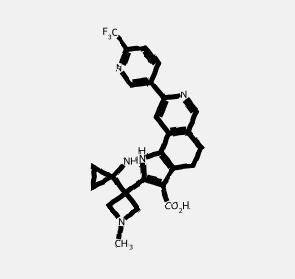 CN1CC(c2[nH]c3c(c2C(=O)O)CCc2cnc(-c4ccc(C(F)(F)F)nc4)cc2-3)(C2(N)CC2)C1